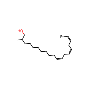 CC/C=C\C/C=C\C/C=C\CCCCCCCCC(C)CO